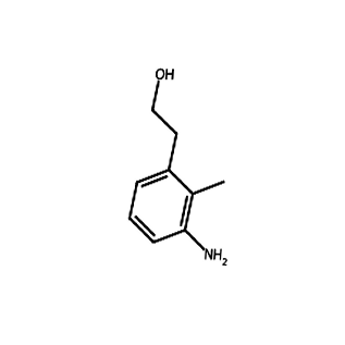 Cc1c(N)cccc1CCO